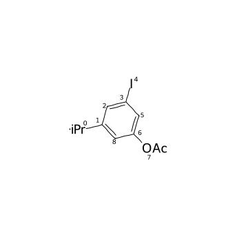 C[C](C)c1cc(I)cc(OC(C)=O)c1